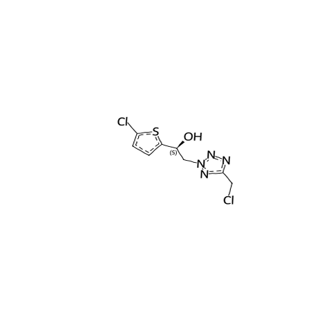 O[C@@H](Cn1nnc(CCl)n1)c1ccc(Cl)s1